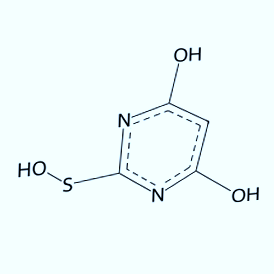 OSc1nc(O)cc(O)n1